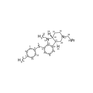 Cc1ccc(Sc2cccc3c2N(C)[C@@H]2CCN(CC(C)C)C[C@@H]32)cc1